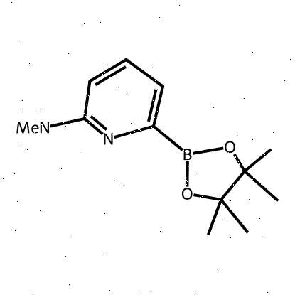 CNc1cccc(B2OC(C)(C)C(C)(C)O2)n1